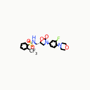 O=C1O[C@@H](CNS(=O)(=O)c2ccccc2C(F)(F)F)CN1c1ccc(N2CCOCC2)c(F)c1